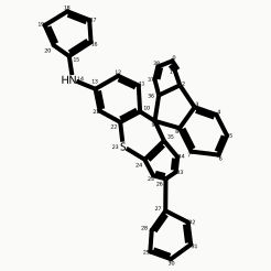 C1=CC2c3ccccc3C3(c4ccc(Nc5ccccc5)cc4Sc4cc(-c5ccccc5)ccc43)C2C=C1